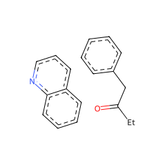 CCC(=O)Cc1ccccc1.c1ccc2ncccc2c1